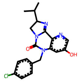 CC(C)C1CN2C(=O)N(Cc3ccc(Cl)cc3)c3cc(O)cnc3C2=N1